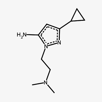 CN(C)CCn1nc(C2CC2)cc1N